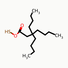 CCCCC(CCCC)(CCCC)CC(=O)OS